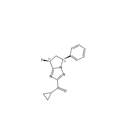 O=C(c1nc2n(n1)[C@H](c1ccccc1)C[C@@H]2F)C1CC1